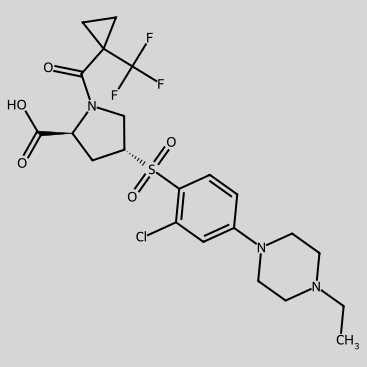 CCN1CCN(c2ccc(S(=O)(=O)[C@@H]3C[C@@H](C(=O)O)N(C(=O)C4(C(F)(F)F)CC4)C3)c(Cl)c2)CC1